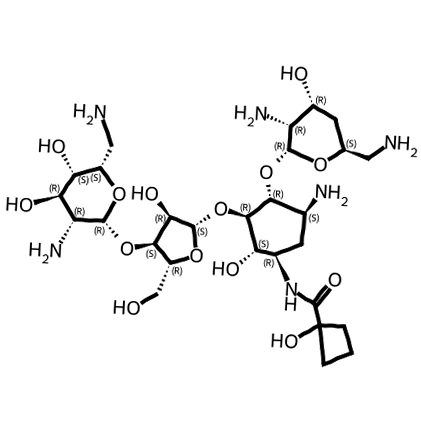 NC[C@@H]1C[C@@H](O)[C@@H](N)[C@@H](O[C@H]2[C@H](O[C@@H]3O[C@H](CO)[C@@H](O[C@H]4O[C@@H](CN)[C@@H](O)[C@H](O)[C@H]4N)[C@H]3O)[C@@H](O)[C@H](NC(=O)C3(O)CCC3)C[C@@H]2N)O1